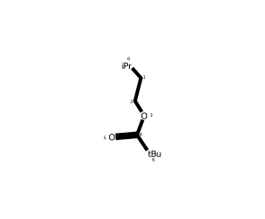 CC(C)CCOC(=O)C(C)(C)C